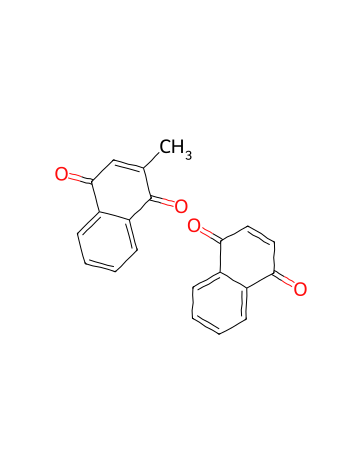 CC1=CC(=O)c2ccccc2C1=O.O=C1C=CC(=O)c2ccccc21